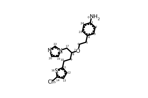 Nc1ccc(CCOC(CCc2ccc(Cl)s2)Cn2ccnc2)cc1